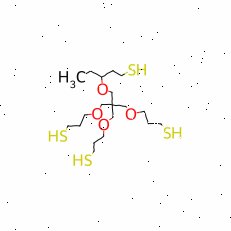 CCC(CCS)OCC(COCCCS)(COCCCS)COCCCS